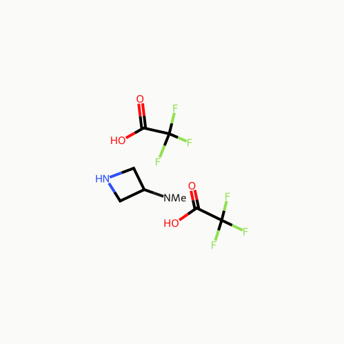 CNC1CNC1.O=C(O)C(F)(F)F.O=C(O)C(F)(F)F